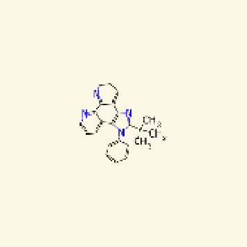 CC(C)(C)c1nc2c3cccnc3c3ncccc3c2n1-c1ccccc1